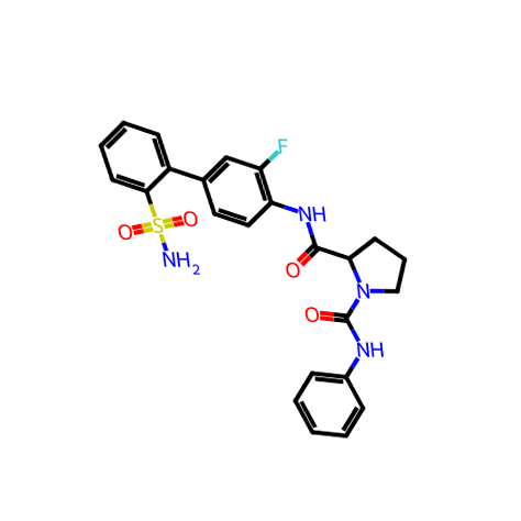 NS(=O)(=O)c1ccccc1-c1ccc(NC(=O)C2CCCN2C(=O)Nc2ccccc2)c(F)c1